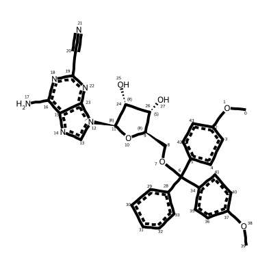 COc1ccc(C(OC[C@H]2O[C@@H](n3cnc4c(N)nc(C#N)nc43)[C@H](O)[C@@H]2O)(c2ccccc2)c2ccc(OC)cc2)cc1